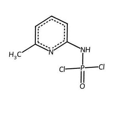 Cc1cccc(NP(=O)(Cl)Cl)n1